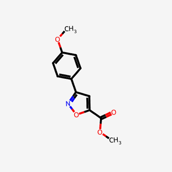 COC(=O)c1cc(-c2ccc(OC)cc2)no1